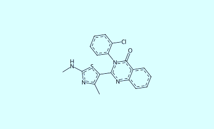 CNc1nc(C)c(-c2nc3ccccc3c(=O)n2-c2ccccc2Cl)s1